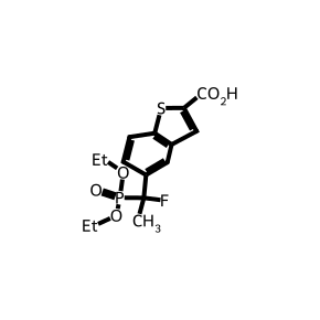 CCOP(=O)(OCC)C(C)(F)c1ccc2sc(C(=O)O)cc2c1